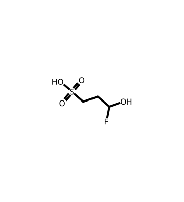 O=S(=O)(O)CCC(O)F